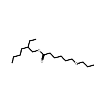 CCCCC(CC)COC(=O)CCCCCOCCC